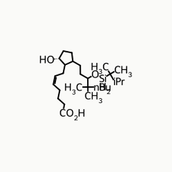 CCCCC(C)(C)C(CCC1CC[C@@H](O)C1C/C=C\CCCC(=O)O)O[SiH2]C(C)(C)C(C)C